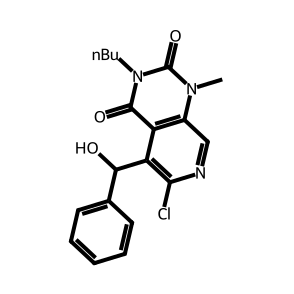 CCCCn1c(=O)c2c(C(O)c3ccccc3)c(Cl)ncc2n(C)c1=O